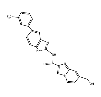 O=C(Nc1nc2cc(-c3cccc(C(F)(F)F)c3)ccc2[nH]1)c1cn2ccc(CO)cc2n1